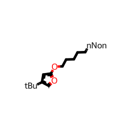 CCCCCCCCCCCCCCOc1cc(C(C)(C)C)[c]o1